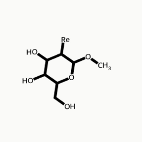 COC1OC(CO)C(O)C(O)[CH]1[Re]